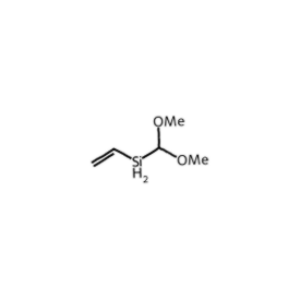 C=C[SiH2]C(OC)OC